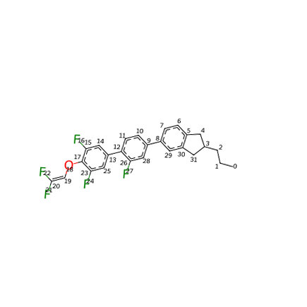 CCCC1Cc2ccc(-c3ccc(-c4cc(F)c(OC=C(F)F)c(F)c4)c(F)c3)cc2C1